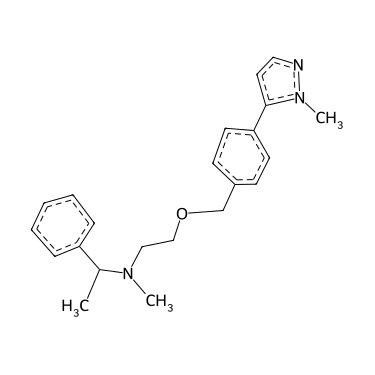 CC(c1ccccc1)N(C)CCOCc1ccc(-c2ccnn2C)cc1